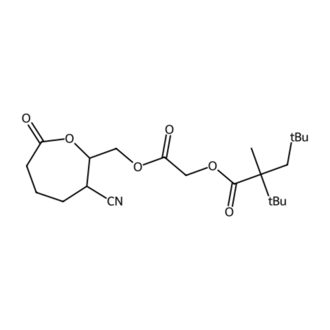 CC(C)(C)CC(C)(C(=O)OCC(=O)OCC1OC(=O)CCCC1C#N)C(C)(C)C